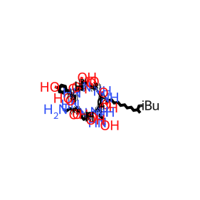 CCC(C)CC(C)CCCCCCCCC(=O)N[C@H]1C[C@@H](O)[C@@H](NCCNO)NC(=O)[C@@H]2[C@@H](O)CCN2C(=O)[C@H]([C@H](O)CCN)NC(=O)[C@H]([C@H](O)[C@@H](O)c2ccc(O)cc2)NC(=O)[C@@H]2C[C@@H](O)CN2C(=O)[C@H]([C@@H](C)O)NC1=O